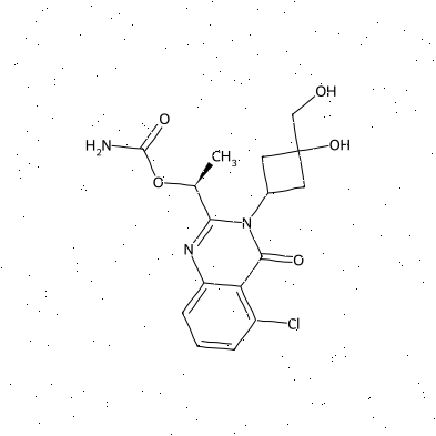 C[C@H](OC(N)=O)c1nc2cccc(Cl)c2c(=O)n1C1CC(O)(CO)C1